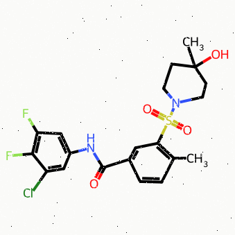 Cc1ccc(C(=O)Nc2cc(F)c(F)c(Cl)c2)cc1S(=O)(=O)N1CCC(C)(O)CC1